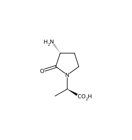 C[C@H](C(=O)O)N1CC[C@@H](N)C1=O